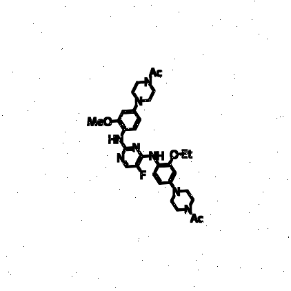 CCOc1cc(N2CCN(C(C)=O)CC2)ccc1Nc1nc(Nc2ccc(N3CCN(C(C)=O)CC3)cc2OC)ncc1F